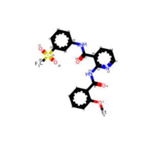 CCOc1ccccc1C(=O)Nc1ncccc1C(=O)Nc1cccc(S(=O)(=O)C(F)(F)F)c1